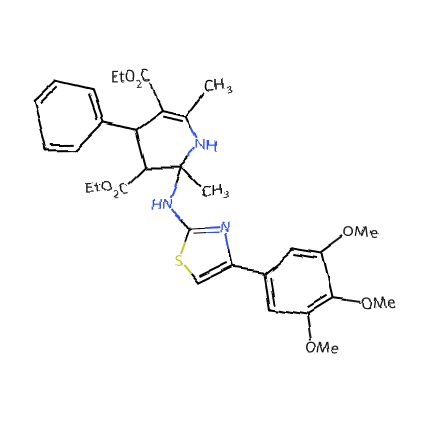 CCOC(=O)C1=C(C)NC(C)(Nc2nc(-c3cc(OC)c(OC)c(OC)c3)cs2)C(C(=O)OCC)C1c1ccccc1